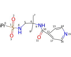 CC(C)S(=O)(=O)NCC(C)(C)NC(=O)c1ccncc1